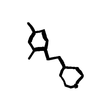 Cc1ccc(CCC2CCSCC2)c(C)c1